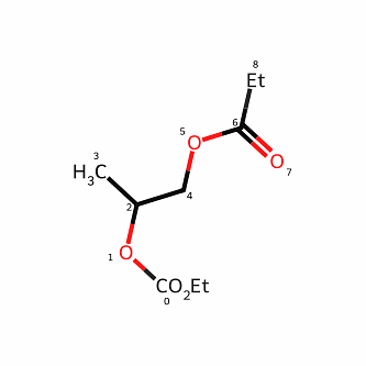 CCOC(=O)OC(C)COC(=O)CC